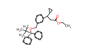 CCOC(=O)CC(c1cccc(CO[Si](c2ccccc2)(c2ccccc2)C(C)(C)C)c1)C1CC1